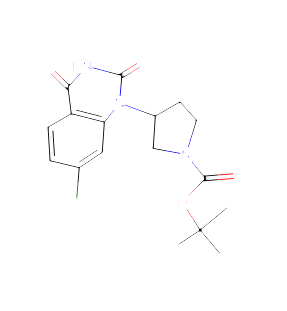 CC(C)(C)OC(=O)N1CCC(n2c(=O)[nH]c(=O)c3ccc(Cl)cc32)C1